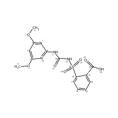 COc1cc(OC)nc(NC(=O)NS(=O)(=O)c2ccccc2C(=O)O)n1